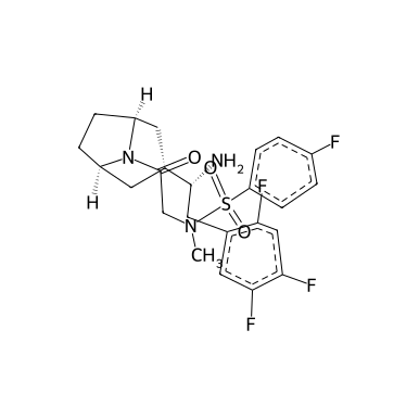 CN(CC(=O)N1[C@@H]2CC[C@H]1C[C@H]([C@H](N)Cc1cc(F)c(F)cc1F)C2)S(=O)(=O)c1ccc(F)cc1